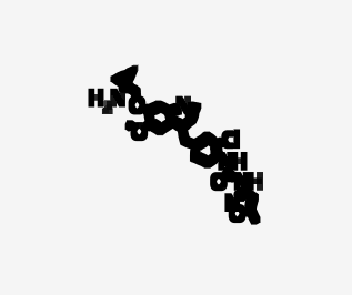 COc1cc2c(Cc3ccc(NC(=O)Nc4cc(C)on4)c(Cl)c3)ccnc2cc1OCC1(N)CC1